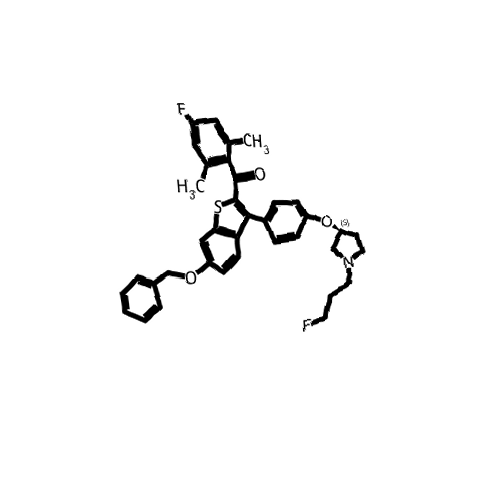 Cc1cc(F)cc(C)c1C(=O)c1sc2cc(OCc3ccccc3)ccc2c1-c1ccc(O[C@H]2CCN(CCCF)C2)cc1